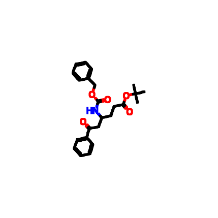 CC(C)(C)OC(=O)CCC(CC(=O)c1ccccc1)NC(=O)OCc1ccccc1